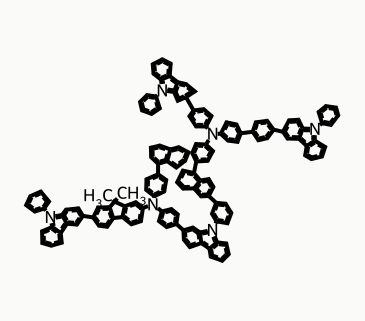 CC1(C)c2cc(-c3ccc4c(c3)c3ccccc3n4-c3ccccc3)ccc2-c2ccc(N(c3ccc(-c4ccc5c6ccccc6n(-c6cccc(-c7ccc8c(-c9ccc(N(c%10ccc(-c%11ccc(-c%12ccc%13c(c%12)c%12ccccc%12n%13-c%12ccccc%12)cc%11)cc%10)c%10ccc(-c%11ccc%12c%13ccccc%13n(-c%13ccccc%13)c%12c%11)cc%10)cc9)cccc8c7)c6)c5c4)cc3)c3ccc(-c4cccc5ccccc45)cc3)cc21